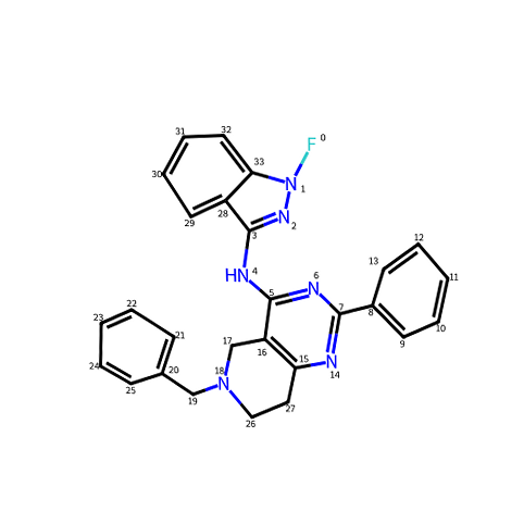 Fn1nc(Nc2nc(-c3ccccc3)nc3c2CN(Cc2ccccc2)CC3)c2ccccc21